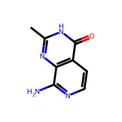 Cc1nc2c(N)nccc2c(=O)[nH]1